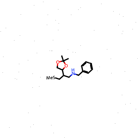 CSCC(CNCc1ccccc1)C1COC(C)(C)O1